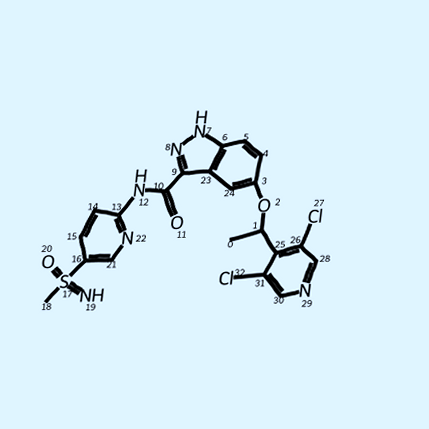 CC(Oc1ccc2[nH]nc(C(=O)Nc3ccc(S(C)(=N)=O)cn3)c2c1)c1c(Cl)cncc1Cl